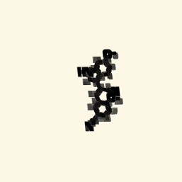 COc1ccc2c(/C(C#N)=C/c3cc(C#N)ccc3OC)c[nH]c2c1